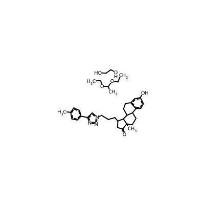 CCOC(C)OCC.Cc1ccc(-c2cn(CCCC3CC(=O)C4(C)CCC5c6ccc(O)cc6CCC5C34)nn2)cc1.OCCO